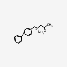 CC(=O)C[C@H](N)Cc1ccc(-c2ccccc2)cc1